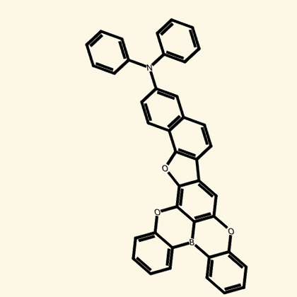 c1ccc(N(c2ccccc2)c2ccc3c(ccc4c5cc6c7c(c5oc34)Oc3ccccc3B7c3ccccc3O6)c2)cc1